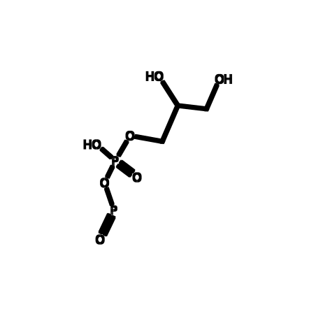 O=POP(=O)(O)OCC(O)CO